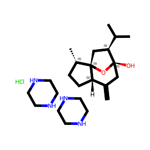 C1CNCCN1.C1CNCCN1.C=C1C[C@]2(O)O[C@@]3(C[C@H]2C(C)C)[C@@H](C)CC[C@@H]13.Cl